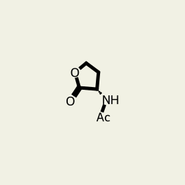 CC(=O)N[C@H]1CCOC1=O